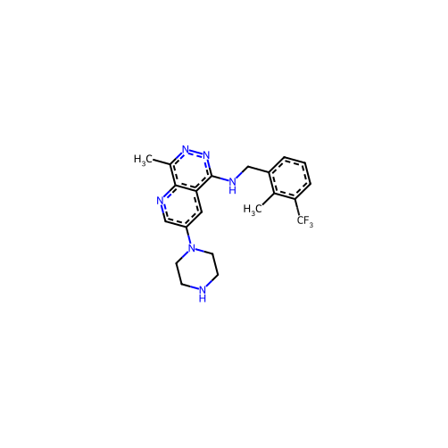 Cc1c(CNc2nnc(C)c3ncc(N4CCNCC4)cc23)cccc1C(F)(F)F